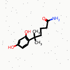 CC(C)(CCCC(N)=O)c1ccc(O)cc1O